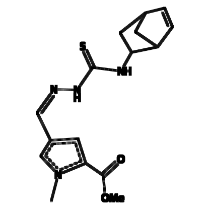 COC(=O)c1cc(/C=N\NC(=S)NC2CC3C=CC2C3)cn1C